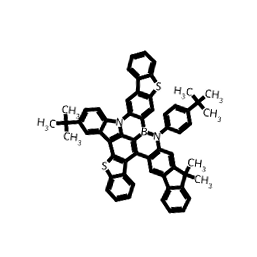 CC(C)(C)c1ccc(N2B3c4cc5sc6ccccc6c5cc4-n4c5ccc(C(C)(C)C)cc5c5c6sc7ccccc7c6c(c3c54)-c3cc4c(cc32)C(C)(C)c2ccccc2-4)cc1